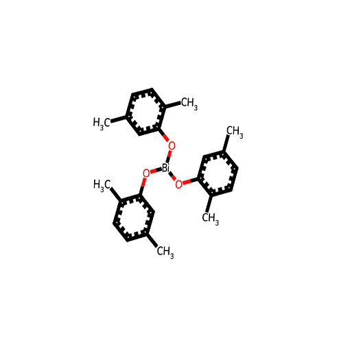 Cc1ccc(C)c([O][Bi]([O]c2cc(C)ccc2C)[O]c2cc(C)ccc2C)c1